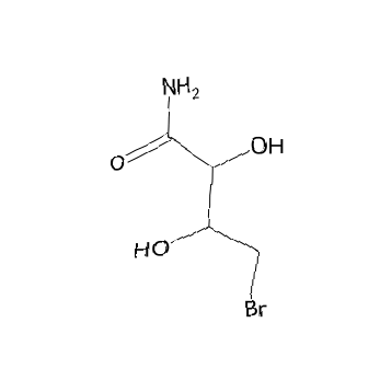 NC(=O)C(O)C(O)CBr